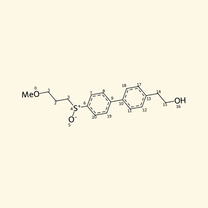 COCCC[S+]([O-])c1ccc(-c2ccc(CCO)cc2)cc1